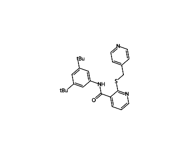 CC(C)(C)c1cc(NC(=O)c2cccnc2SCc2ccncc2)cc(C(C)(C)C)c1